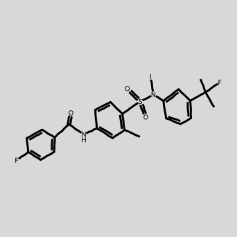 Cc1cc(NC(=O)c2ccc(F)cc2)ccc1S(=O)(=O)N(I)c1cccc(C(C)(C)F)c1